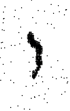 COC[C@@H](F)CCCCCc1cnc(-c2ccc(OCC(F)(F)C(F)(F)C(F)(F)OC(F)(F)C(F)(F)C(F)(F)C(F)(F)OC(F)(F)C(F)(F)C(F)(F)C(F)(F)F)cc2)nc1